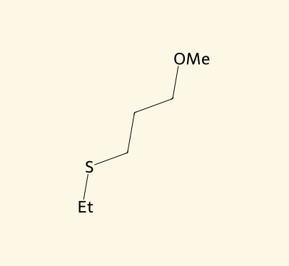 [CH2-][CH+]SCCC[OH+][CH2-]